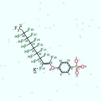 O=S(=O)([O-])c1ccc(OC(F)=C(F)C(F)(F)C(F)(F)C(F)(F)C(F)(F)C(F)(F)C(F)(F)C(F)(F)F)cc1.[K+]